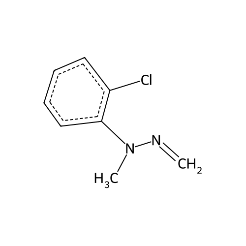 C=NN(C)c1ccccc1Cl